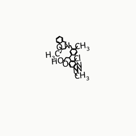 CC[C@@H]1CN(Cc2cc(C(CC(=O)O)c3ccc4c(nnn4CC)c3Cl)ccc2C)Cc2ccccc2O1